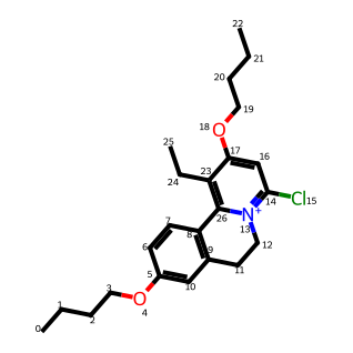 CCCCOc1ccc2c(c1)CC[n+]1c(Cl)cc(OCCCC)c(CC)c1-2